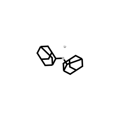 C1C2CC3CC1CC(C2)C3OC1C2CC3CC(C2)CC1C3.[Li]